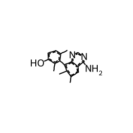 Cc1cc2c(N)ncnc2c(-c2c(C)ccc(O)c2C)c1C